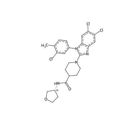 Cc1ccc(-n2c(N3CCC(C(=O)N[C@@H]4CCOC4)CC3)nc3cc(Cl)c(Cl)cc32)cc1Cl